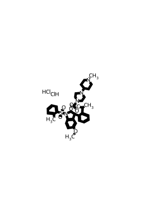 COc1ccc2c(c1)C(OC(=O)N1CCN(C3CCN(C)CC3)CC1)(c1ccccc1C(C)C)C(=O)N2S(=O)(=O)c1ccccc1C.Cl.Cl